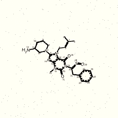 CC(C)=CCn1c(N2CCCC(N)C2)nc2c1c(=O)n(C(Cc1ccccc1)=S=O)c(=O)n2C